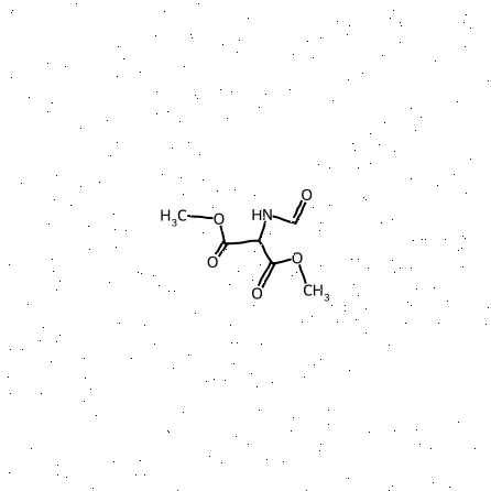 COC(=O)C(NC=O)C(=O)OC